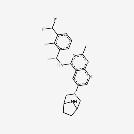 Cc1nc(N[C@H](C)c2cccc(C(F)F)c2F)c2cc(N3CC4CCC(C3)N4)cnc2n1